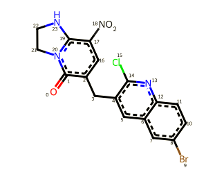 O=c1c(Cc2cc3cc(Br)ccc3nc2Cl)cc([N+](=O)[O-])c2n1CCN2